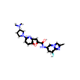 Cc1cn2cc(NC(=O)c3cc4nc(N5CC[C@H](N(C)C)C5)ccc4o3)cc(F)c2n1